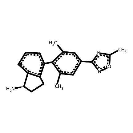 Cc1nc(-c2cc(C)c(-c3cccc4c3CC[C@H]4N)c(C)c2)no1